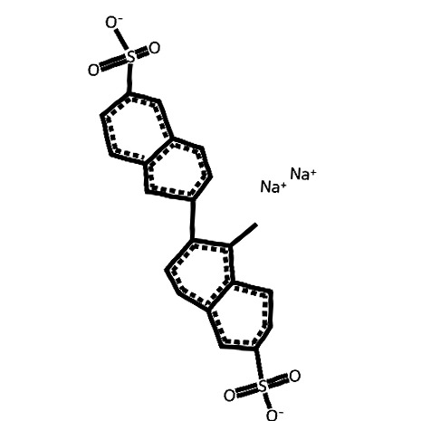 Cc1c(-c2ccc3cc(S(=O)(=O)[O-])ccc3c2)ccc2cc(S(=O)(=O)[O-])ccc12.[Na+].[Na+]